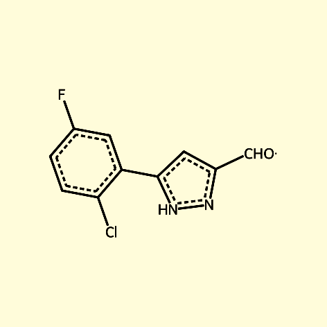 O=[C]c1cc(-c2cc(F)ccc2Cl)[nH]n1